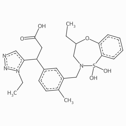 CCC1CN(Cc2cc(C(CC(=O)O)c3cnnn3CC)ccc2C)S(O)(O)c2ccccc2O1